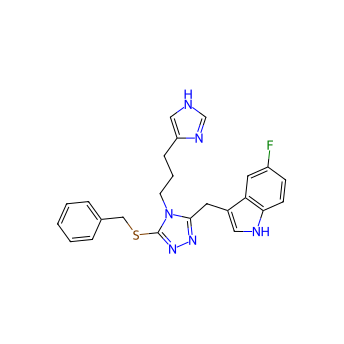 Fc1ccc2[nH]cc(Cc3nnc(SCc4ccccc4)n3CCCc3c[nH]cn3)c2c1